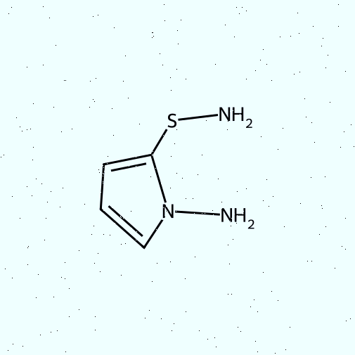 NSc1cccn1N